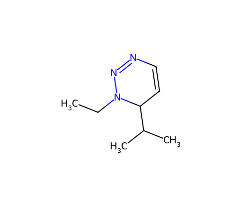 CCN1N=NC=CC1C(C)C